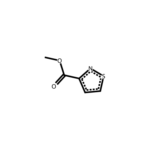 COC(=O)c1ccsn1